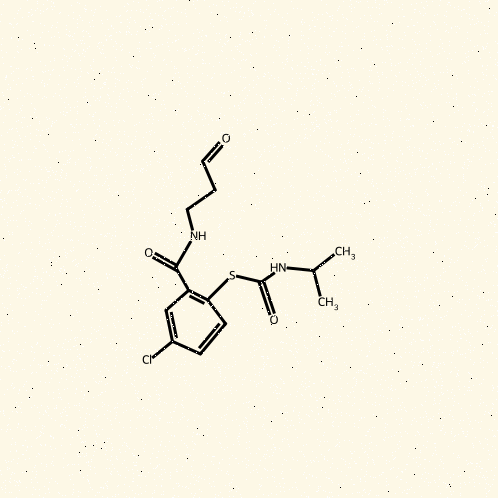 CC(C)NC(=O)Sc1ccc(Cl)cc1C(=O)NCCC=O